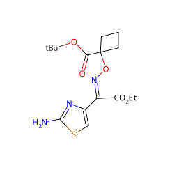 CCOC(=O)/C(=N\OC1(C(=O)OC(C)(C)C)CCC1)c1csc(N)n1